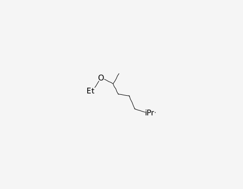 CCOC(C)CCC[C](C)C